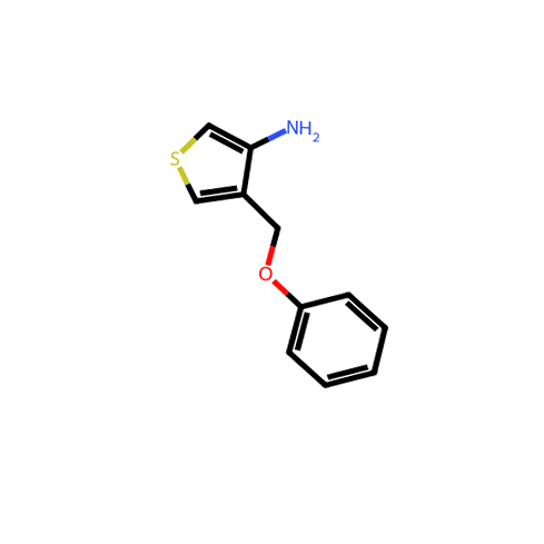 Nc1cscc1COc1ccccc1